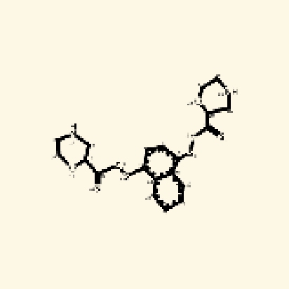 S=C(SSc1ccc(SSC(=S)C2CNCCO2)c2ccccc12)C1CNCCO1